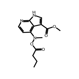 CCCC(=O)ON(C)c1ccnc2[nH]cc(C(=O)OC)c12